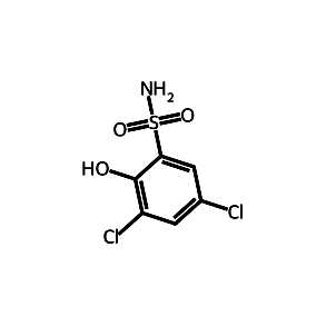 NS(=O)(=O)c1cc(Cl)cc(Cl)c1O